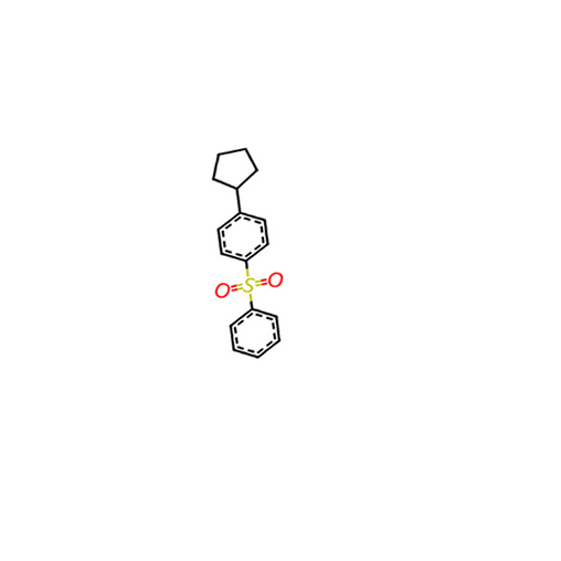 O=S(=O)(c1ccccc1)c1ccc(C2CCCC2)cc1